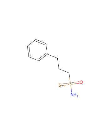 NS(=O)(=S)CCCc1ccccc1